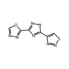 c1nnc(C2=N[N]C(c3csnn3)=N2)o1